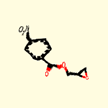 O=C(OCC1CO1)c1ccc([N+](=O)[O-])cc1